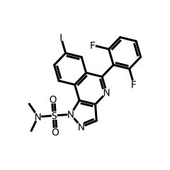 CN(C)S(=O)(=O)n1ncc2nc(-c3c(F)cccc3F)c3cc(I)ccc3c21